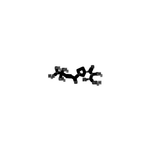 CC(C)[C@@H](C(=O)O)N(C)C(=O)[C@H]1CCN(C(=O)C#CC(C)(C)N(C)C)C1